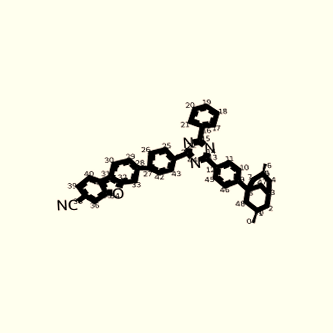 C[C@@H]1CC2C[C@H](C)CC(c3ccc(-c4nc(-c5ccccc5)nc(-c5ccc(-c6ccc7c(c6)oc6cc(C#N)ccc67)cc5)n4)cc3)(C2)C1